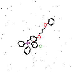 [Cl-].c1ccc(OCCCCOc2ccc(C[P+](c3ccccc3)(c3ccccc3)c3ccccc3)cc2)cc1